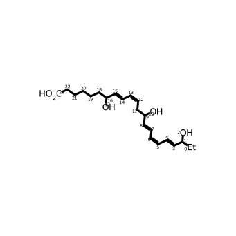 CCC(O)/C=C/C=C\C=C\C(O)C/C=C\C=C\C(O)CCCCCC(=O)O